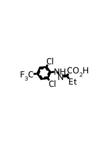 CCC(=NNc1c(Cl)cc(C(F)(F)F)cc1Cl)C(=O)O